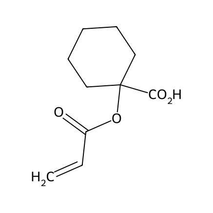 C=CC(=O)OC1(C(=O)O)CCCCC1